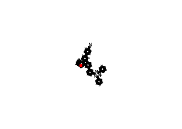 N#Cc1ccc(-c2ccc3c(c2)-c2ccc(-c4cccc(-c5nc(-c6ccccc6)nc(-c6ccccc6)n5)c4)cc2C32C3CC4CC(C3)CC2C4)cc1